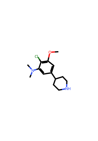 COc1cc(C2CCNCC2)cc(N(C)C)c1Cl